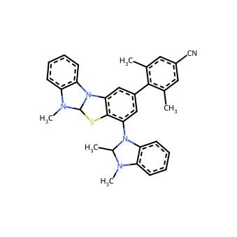 Cc1cc(C#N)cc(C)c1-c1cc(N2c3ccccc3N(C)C2C)c2c(c1)N1c3ccccc3N(C)C1S2